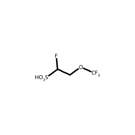 O=S(=O)(O)C(F)COC(F)(F)F